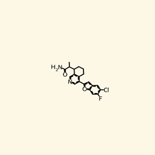 CC(C(N)=O)C1CCCc2c(-c3cc4cc(Cl)c(F)cc4o3)cncc21